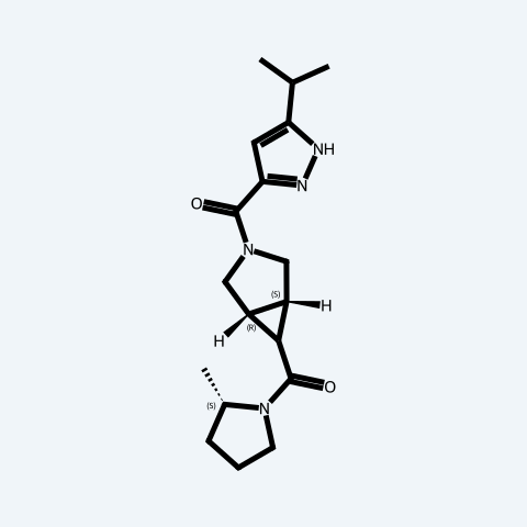 CC(C)c1cc(C(=O)N2C[C@@H]3C(C(=O)N4CCC[C@@H]4C)[C@@H]3C2)n[nH]1